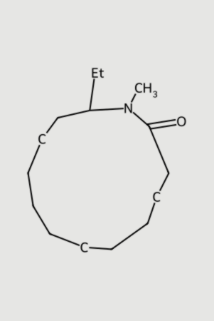 CCC1CCCCCCCCCCC(=O)N1C